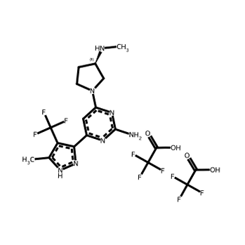 CN[C@@H]1CCN(c2cc(-c3n[nH]c(C)c3C(F)(F)F)nc(N)n2)C1.O=C(O)C(F)(F)F.O=C(O)C(F)(F)F